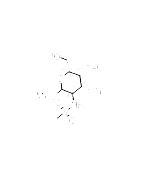 COC1O[C@H](CO)[C@H](O)[C@H](O)[C@H]1NS(C)(=O)=O